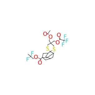 CC(=O)OCC1(COC(=O)C(F)(F)F)CSC2(SC1)C1CC3CC2CC(C(=O)OCC(C)(F)F)(C3)C1